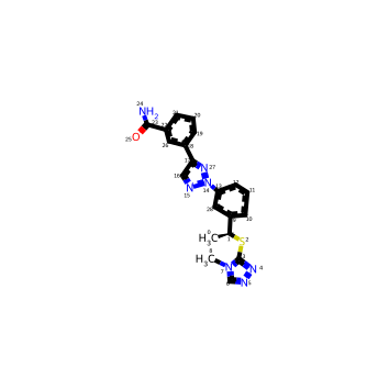 C[C@H](Sc1nncn1C)c1cccc(-n2ncc(-c3cccc(C(N)=O)c3)n2)c1